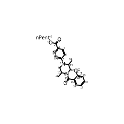 CCCCCOC(=O)c1ccc(N2CC(C)N(C(=O)c3ccccc3C(F)(F)F)CC2C)nn1